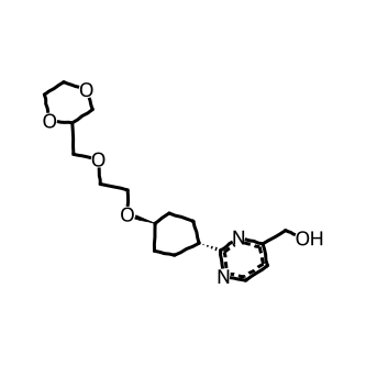 OCc1ccnc([C@H]2CC[C@H](OCCOCC3COCCO3)CC2)n1